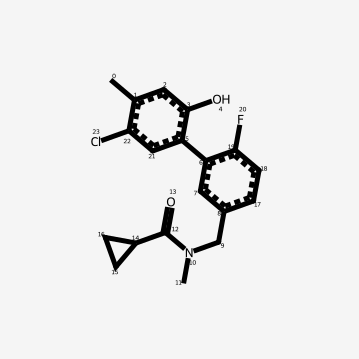 Cc1cc(O)c(-c2cc(CN(C)C(=O)C3CC3)ccc2F)cc1Cl